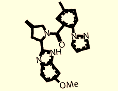 C=C1CC(c2nc3ccc(OC)cc3[nH]2)N(C(=O)c2cc(C)ccc2-n2cccn2)C1